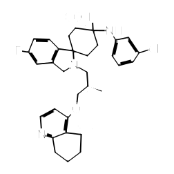 C[C@@H](COc1ccnc2c1[C@H](C)CCC2)CN1Cc2cc(F)ccc2C12CCC(Nc1cccc(Cl)c1)(C(=O)O)CC2